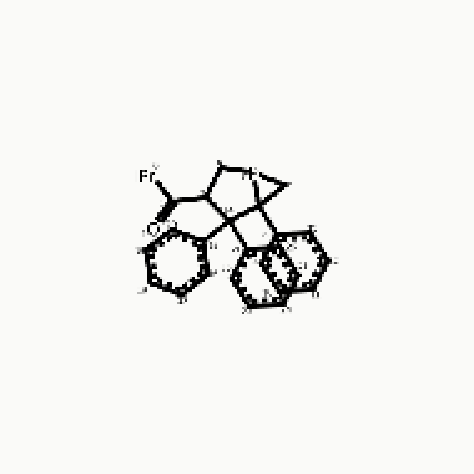 CC(C)C(=O)C1CP2CC2(c2ccccc2)C1(c1ccccc1)c1ccccc1